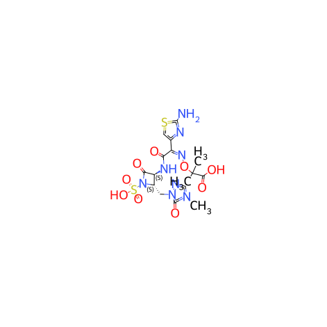 Cn1cnn(C[C@H]2[C@H](NC(=O)C(=NOC(C)(C)C(=O)O)c3csc(N)n3)C(=O)N2S(=O)(=O)O)c1=O